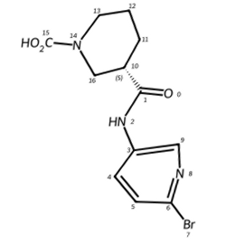 O=C(Nc1ccc(Br)nc1)[C@H]1CCCN(C(=O)O)C1